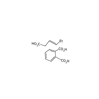 CCC=CCC(=O)O.O=C(O)c1ccccc1C(=O)O